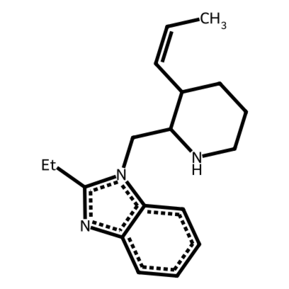 C/C=C\C1CCCNC1Cn1c(CC)nc2ccccc21